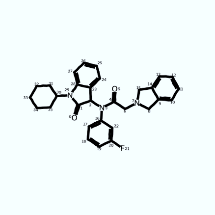 O=C1C(N(C(=O)CN2Cc3ccccc3C2)c2cccc(F)c2)c2ccccc2N1C1CCCCC1